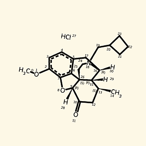 COc1ccc2c3c1O[C@H]1C(=O)C[C@H](C)[C@H]4[C@@H](C2)N(CC2CCC2)CC[C@@]341.Cl